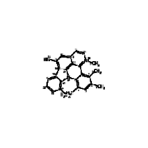 Cc1cc(C)c2c(c1C)c1c3c(cc[n+]1C)cc(C(C)(C)C)c1c4cccc(C)c4n2c13